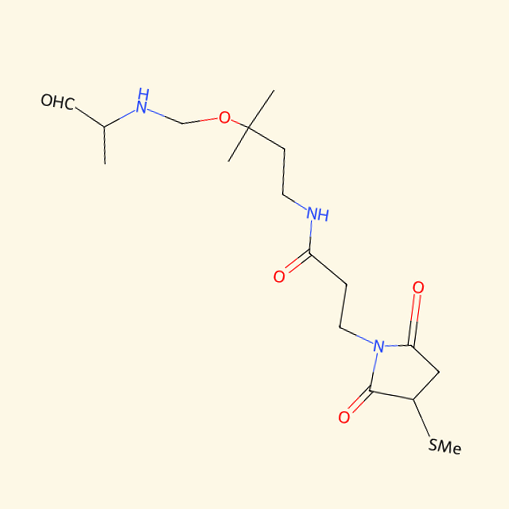 CSC1CC(=O)N(CCC(=O)NCCC(C)(C)OCNC(C)C=O)C1=O